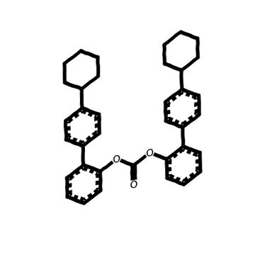 O=C(Oc1ccccc1-c1ccc(C2CCCCC2)cc1)Oc1ccccc1-c1ccc(C2CCCCC2)cc1